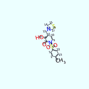 Cc1ccc(S(=O)(=O)n2ccc(CN3CCSC3)c(O)c2=O)cc1